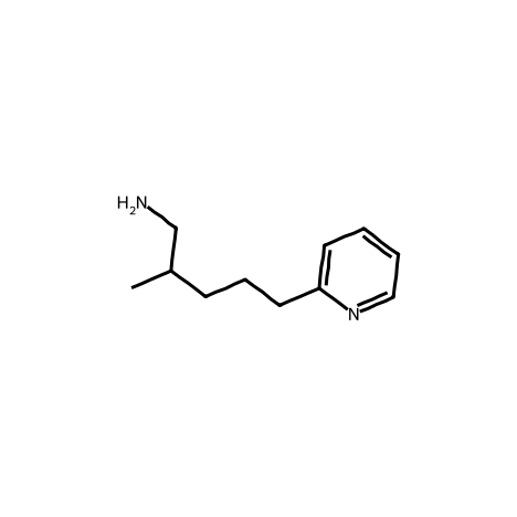 CC(CN)CCCc1ccccn1